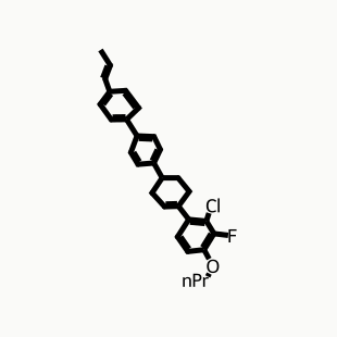 C/C=C/c1ccc(-c2ccc(C3CC=C(c4ccc(OCCC)c(F)c4Cl)CC3)cc2)cc1